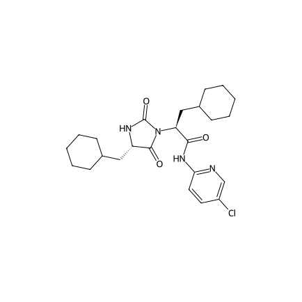 O=C(Nc1ccc(Cl)cn1)[C@H](CC1CCCCC1)N1C(=O)N[C@@H](CC2CCCCC2)C1=O